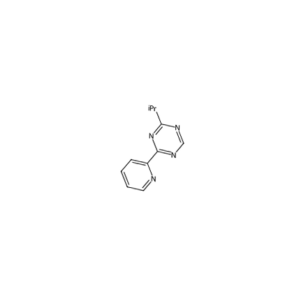 CC(C)c1ncnc(-c2ccccn2)n1